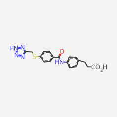 O=C(O)CCc1ccc(NC(=O)c2ccc(SCc3nn[nH]n3)cc2)cc1